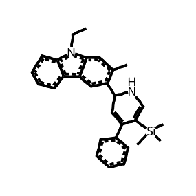 CCn1c2ccccc2c2cc(C3C=C(c4ccccc4)C([Si](C)(C)C)=CN3)c(C)cc21